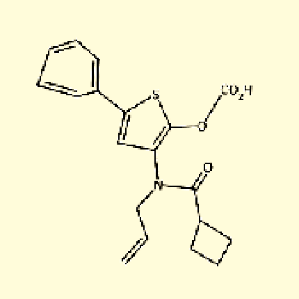 C=CCN(C(=O)C1CCC1)c1cc(-c2ccccc2)sc1OC(=O)O